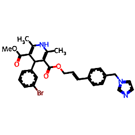 COC(=O)C1=C(C)NC(C)=C(C(=O)OCC=Cc2ccc(Cn3ccnc3)cc2)C1c1cccc(Br)c1